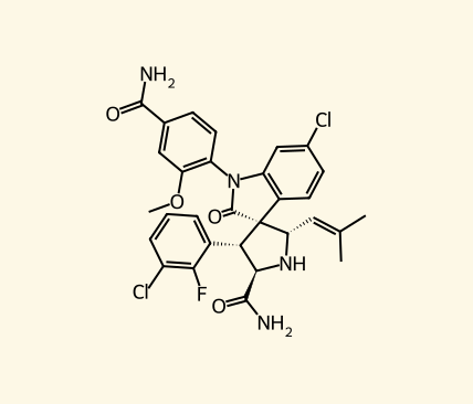 COc1cc(C(N)=O)ccc1N1C(=O)[C@]2(c3ccc(Cl)cc31)[C@H](C=C(C)C)N[C@@H](C(N)=O)[C@@H]2c1cccc(Cl)c1F